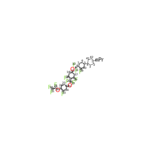 CCCC1CCC(c2ccc(C(F)(F)Oc3cc(F)c(C(F)(F)Oc4ccc(OC(F)=C(F)F)c(F)c4)c(F)c3)c(F)c2)CC1